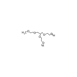 [3H]OCCOCC(COCCOC)OCCO[3H]